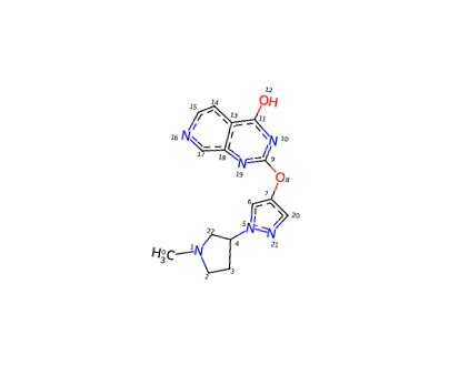 CN1CCC(n2cc(Oc3nc(O)c4ccncc4n3)cn2)C1